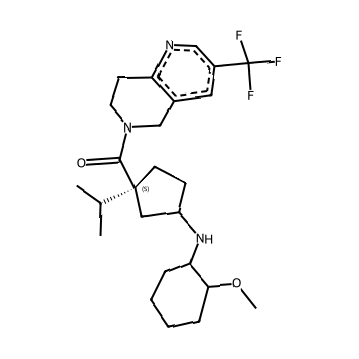 COC1CCCCC1NC1CC[C@@](C(=O)N2CCc3ncc(C(F)(F)F)cc3C2)(C(C)C)C1